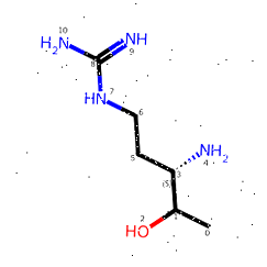 CC(O)[C@@H](N)CCNC(=N)N